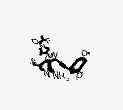 COc1cc(C#Cc2nn([C@H]3CCN(C(=O)C(C)F)C3)c3c(C#N)cnc(N)c23)cc(OC)c1